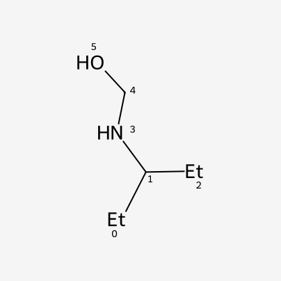 CCC(CC)NCO